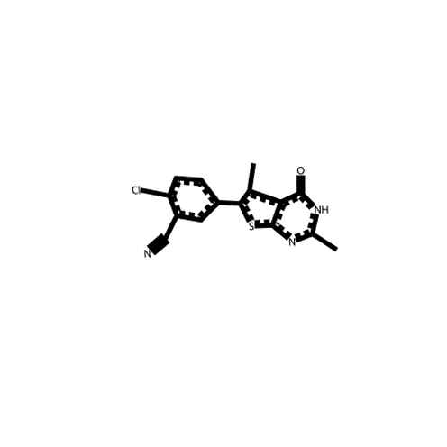 Cc1nc2sc(-c3ccc(Cl)c(C#N)c3)c(C)c2c(=O)[nH]1